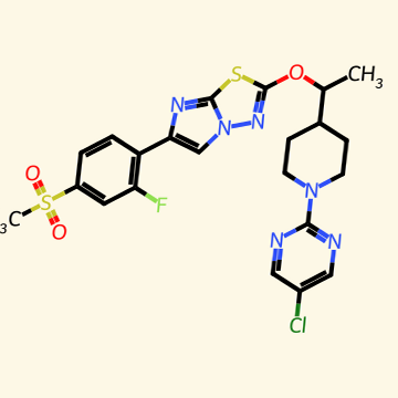 CC(Oc1nn2cc(-c3ccc(S(C)(=O)=O)cc3F)nc2s1)C1CCN(c2ncc(Cl)cn2)CC1